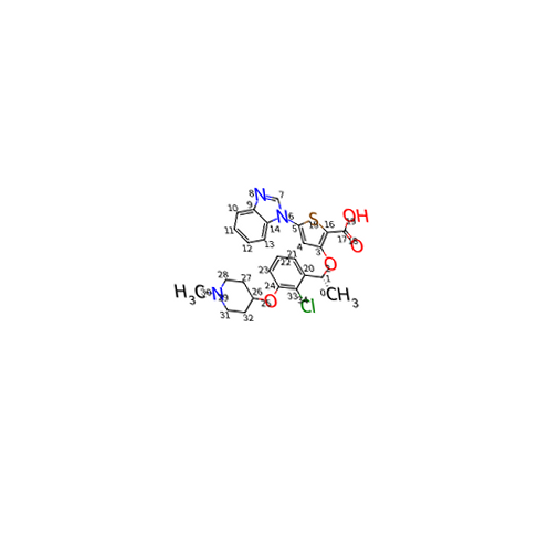 C[C@@H](Oc1cc(-n2cnc3ccccc32)sc1C(=O)O)c1cccc(OC2CCN(C)CC2)c1Cl